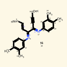 CCCCCCCCC/C=C/C(=N\c1ccc(C)c(C)c1)C(/C#CCCCCCCCCCC)=N/c1ccc(C)c(C)c1.[Ni]